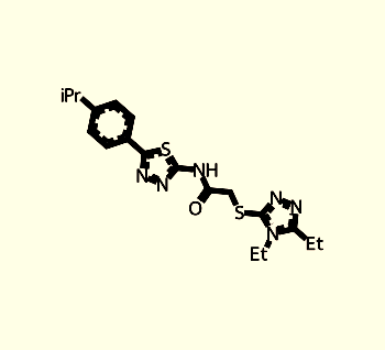 CCc1nnc(SCC(=O)Nc2nnc(-c3ccc(C(C)C)cc3)s2)n1CC